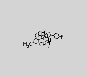 Cc1cc(C)c(C2=C(O)[C@@H]3[C@@H]4O[C@@H](C[C@H]4c4ccc(F)cc4)[C@@H]3C2=O)c(C)c1